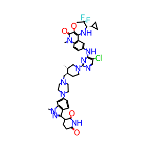 C[C@@H]1CN(c2ncc(Cl)c(Nc3ccc4c(c3)c3c(c(=O)n4C)OCC(F)(F)[C@H](C4CC4)N3)n2)CC[C@H]1CN1CCN(c2ccc3c(C4CCC(=O)NC4=O)nn(C)c3c2)CC1